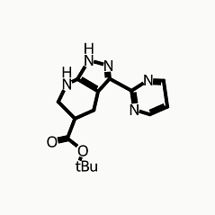 CC(C)(C)OC(=O)C1CNc2[nH]nc(-c3ncccn3)c2C1